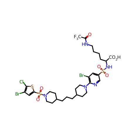 O=C(O)C(CCCCNC(=O)C(F)(F)F)NS(=O)(=O)c1cnc(N2CCC(CCCC3CCN(S(=O)(=O)c4cc(Br)c(Cl)s4)CC3)CC2)c(Br)c1